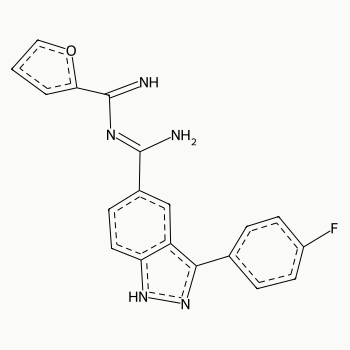 N=C(/N=C(\N)c1ccc2[nH]nc(-c3ccc(F)cc3)c2c1)c1ccco1